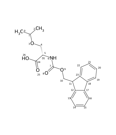 CC(C)OC[C@H](NC(=O)OCC1c2ccccc2-c2ccccc21)C(=O)O